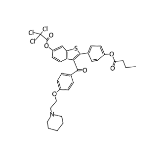 CCCC(=O)Oc1ccc(-c2sc3cc(OC(=O)C(Cl)(Cl)Cl)ccc3c2C(=O)c2ccc(OCCN3CCCCC3)cc2)cc1